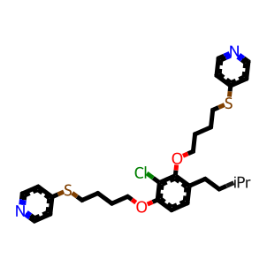 CC(C)CCc1ccc(OCCCCSc2ccncc2)c(Cl)c1OCCCCSc1ccncc1